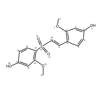 COc1cc(O)ccc1C=NS(=O)(=O)c1ccc(O)cc1OC